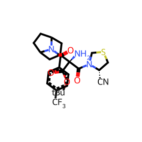 CC(C)(C)OC(=O)[C@@](N)(C(=O)N1CSC[C@@H]1C#N)C1CC2CCC(C1)N2C(=O)c1ccc(C(F)(F)F)cc1